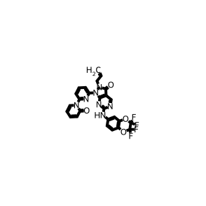 C=CCn1c(=O)c2cnc(Nc3ccc4c(c3)OC(F)(F)C(F)(F)O4)nc2n1-c1cccc(-n2ccccc2=O)n1